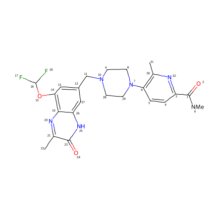 CNC(=O)c1ccc(N2CCN(Cc3cc(OC(F)F)c4nc(C)c(=O)[nH]c4c3)CC2)c(C)n1